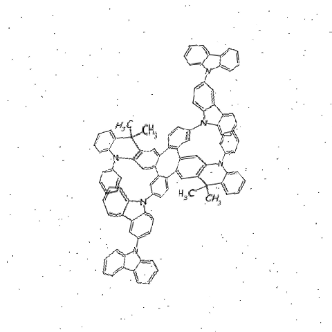 CC1(C)c2ccccc2N(c2ccccc2)c2cc3c(cc21)-c1ccc(-n2c4ccccc4c4cc(-n5c6ccccc6c6ccccc65)ccc42)cc1-c1cc2c(cc1-c1ccc(-n4c5ccccc5c5cc(-n6c7ccccc7c7ccccc76)ccc54)cc1-3)C(C)(C)c1ccccc1N2c1ccccc1